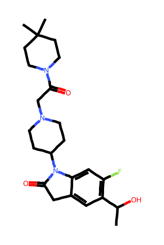 CC(O)c1cc2c(cc1F)N(C1CCN(CC(=O)N3CCC(C)(C)CC3)CC1)C(=O)C2